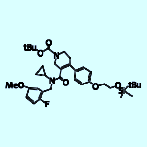 COc1ccc(F)c(CN(C(=O)C2=C(c3ccc(OCCO[Si](C)(C)C(C)(C)C)cc3)CCN(C(=O)OC(C)(C)C)C2)C2CC2)c1